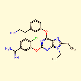 CCc1nc2c(Oc3cccc(CCN)c3)nc(Oc3cc(C(=N)N)ccc3Cl)nc2n1CC